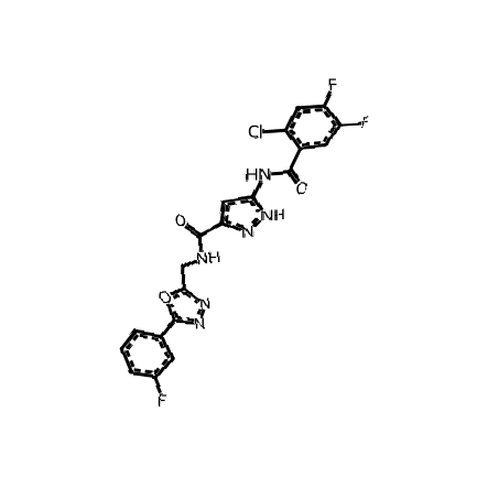 O=C(NCc1nnc(-c2cccc(F)c2)o1)c1cc(NC(=O)c2cc(F)c(F)cc2Cl)[nH]n1